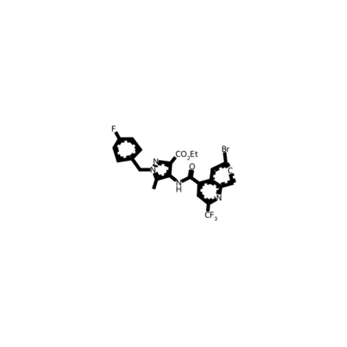 CCOC(=O)c1nn(Cc2ccc(F)cc2)c(C)c1NC(=O)c1cc(C(F)(F)F)nc2ccc(Br)cc12